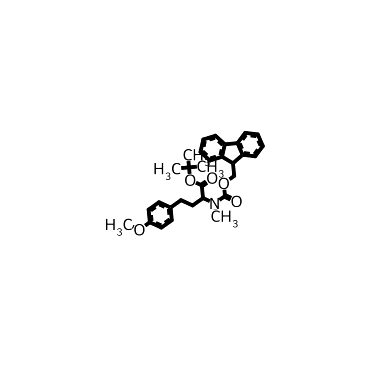 COc1ccc(CCC(C(=O)OC(C)(C)C)N(C)C(=O)OCC2c3ccccc3-c3ccccc32)cc1